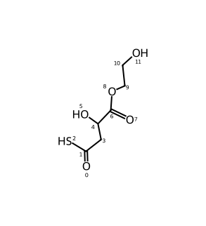 O=C(S)CC(O)C(=O)OCCO